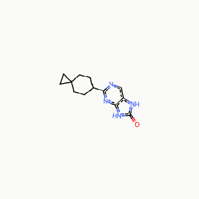 O=c1[nH]c2cnc(C3CCC4(CC3)CC4)nc2[nH]1